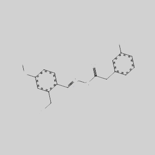 CCc1cc(OC)ccc1/C=N/NC(=O)Cc1cccc(O)c1